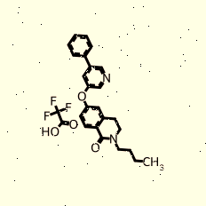 CCCCN1CCc2cc(Oc3cncc(-c4ccccc4)c3)ccc2C1=O.O=C(O)C(F)(F)F